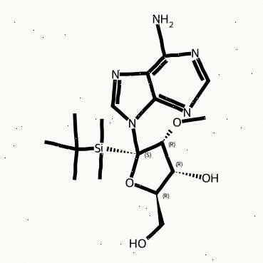 CO[C@@H]1[C@H](O)[C@@H](CO)O[C@]1(n1cnc2c(N)ncnc21)[Si](C)(C)C(C)(C)C